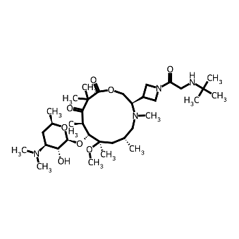 CO[C@]1(C)C[C@@H](C)CN(C)[C@H](C2CN(C(=O)CNC(C)(C)C)C2)COC(=O)C(C)(C)C(=O)[C@H](C)[C@H]1O[C@@H]1O[C@H](C)C[C@H](N(C)C)[C@H]1O